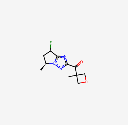 C[C@H]1C[C@@H](F)c2nc(C(=O)C3(C)COC3)nn21